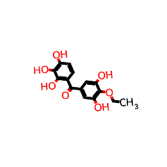 CCOc1c(O)cc(C(=O)c2ccc(O)c(O)c2O)cc1O